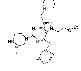 CCOCCn1nc(CN2CCCCC2)c2nc(N3CCN[C@@H](C)C3)nc(Nc3cc(C)ccn3)c21